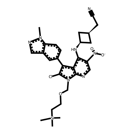 Cn1ncc2cc(-c3c(Cl)n(COCC[Si](C)(C)C)c4ncc([N+](=O)[O-])c(N[C@H]5C[C@@H](CC#N)C5)c34)ccc21